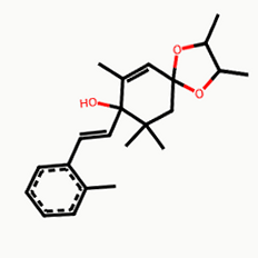 CC1=CC2(CC(C)(C)C1(O)/C=C/c1ccccc1C)OC(C)C(C)O2